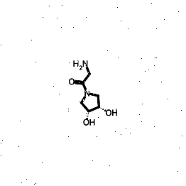 NCC(=O)N1C[C@@H](O)[C@@H](O)C1